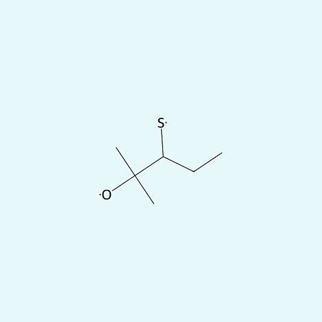 CCC([S])C(C)(C)[O]